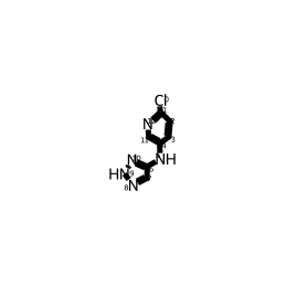 Clc1ccc(Nc2cn[nH]n2)cn1